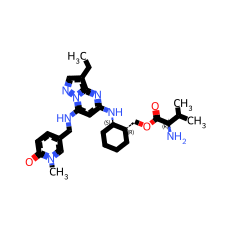 CCc1cnn2c(NCc3ccc(=O)n(C)c3)cc(N[C@H]3CCCC[C@H]3COC(=O)[C@H](N)C(C)C)nc12